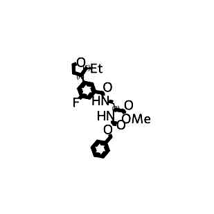 CC[C@@H]1OCC[C@@H]1c1cc(F)cc(C(=O)NC[C@@H](NC(=O)OCc2ccccc2)C(=O)OC)c1